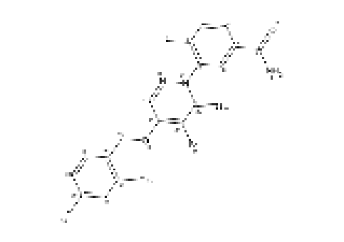 Cc1ccc(C(N)=O)cc1-n1ncc(OCc2ccc(F)cc2F)c(Br)c1=O